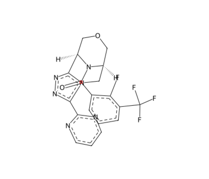 O=C(c1cccc(C(F)(F)F)c1F)N1[C@H]2COC[C@@H]1c1nnc(-c3ncccn3)n1C2